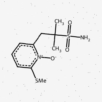 CSc1cccc(CC(C)(C)S(N)(=O)=O)[n+]1[O-]